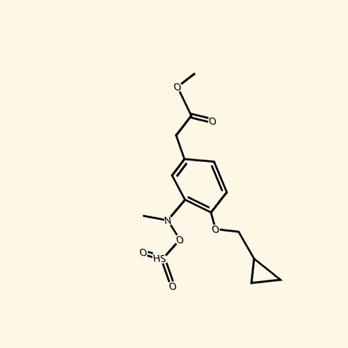 COC(=O)Cc1ccc(OCC2CC2)c(N(C)O[SH](=O)=O)c1